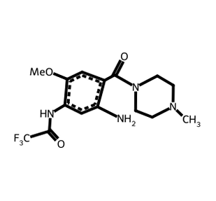 COc1cc(C(=O)N2CCN(C)CC2)c(N)cc1NC(=O)C(F)(F)F